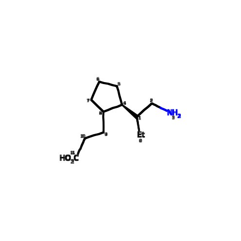 CCC(CN)[C@@H]1CCCC1CCC(=O)O